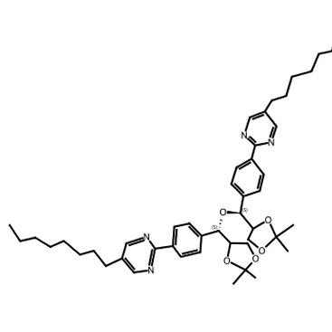 CCCCCCCCc1cnc(-c2ccc([C@H](O[C@@H](c3ccc(-c4ncc(CCCCCCCC)cn4)cc3)C3COC(C)(C)O3)C3COC(C)(C)O3)cc2)nc1